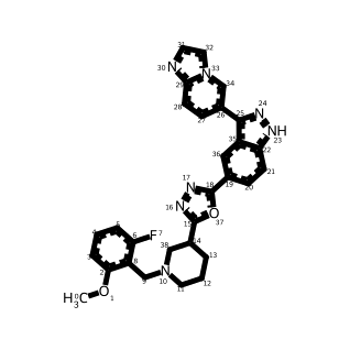 COc1cccc(F)c1CN1CCCC(c2nnc(-c3ccc4[nH]nc(-c5ccc6nccn6c5)c4c3)o2)C1